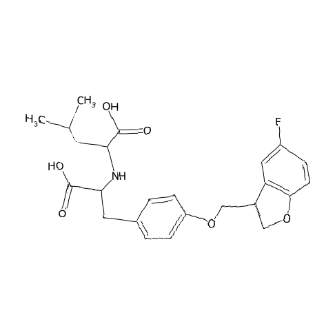 CC(C)CC(NC(Cc1ccc(OCC2COc3ccc(F)cc32)cc1)C(=O)O)C(=O)O